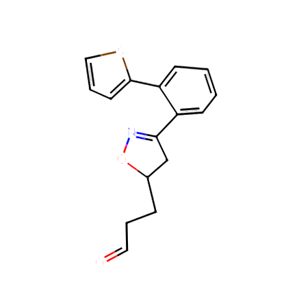 O=CCCC1CC(c2ccccc2-c2cccs2)=NO1